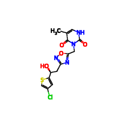 Cc1c[nH]c(=O)n(Cc2nc(C[C@H](O)c3cc(Cl)cs3)no2)c1=O